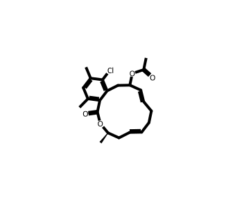 CC(=O)OC1/C=C/CC/C=C/C[C@@H](C)OC(=O)c2c(C)cc(C)c(Cl)c2C1